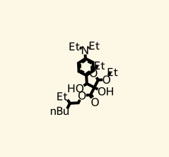 CCCCC(CC)COC(=O)C(O)(C(OCC)OCC)C(O)c1ccc(N(CC)CC)cc1